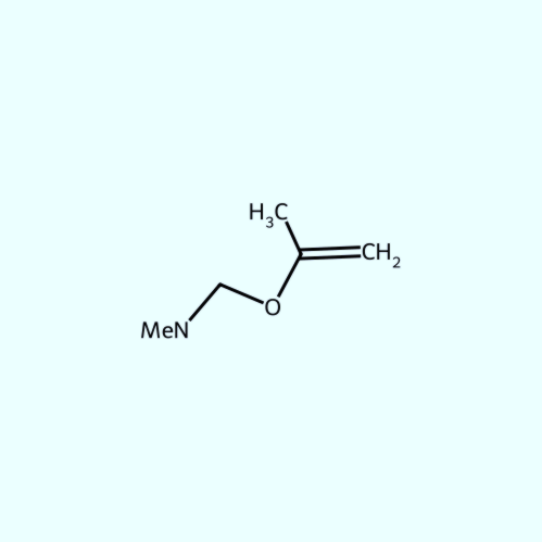 C=C(C)OCNC